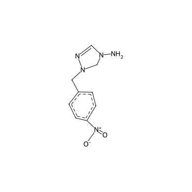 NN1C=NN(Cc2ccc([N+](=O)[O-])cc2)C1